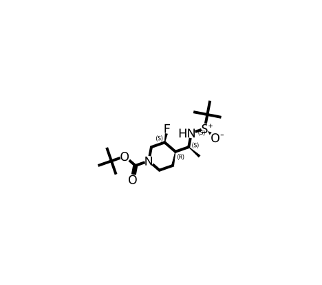 C[C@H](N[S@+]([O-])C(C)(C)C)[C@H]1CCN(C(=O)OC(C)(C)C)C[C@H]1F